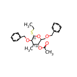 CCS[C@@H]1OC(COCc2ccccc2)[C@H](OC(C)=O)[C@H](C)C1OCc1ccccc1